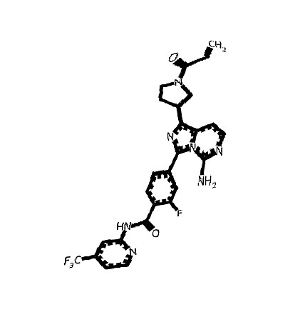 C=CC(=O)N1CCC(c2nc(-c3ccc(C(=O)Nc4cc(C(F)(F)F)ccn4)c(F)c3)n3c(N)nccc23)C1